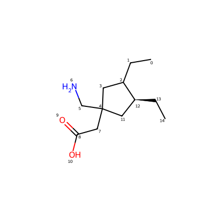 CCC1CC(CN)(CC(=O)O)C[C@@H]1CC